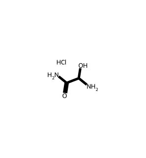 Cl.NC(=O)C(N)O